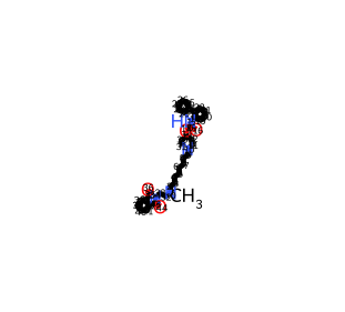 CN(CCCCCCCCN1CCC(OC(=O)Nc2ccccc2-c2ccccc2)CC1)CCN1C(=O)c2ccccc2C1=O